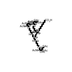 CC(=O)NC1C(OCCCCC(=O)NCCN(CCNC(=O)CCCCOC2OC(OC(C)=O)C(OC(C)=O)C(OC(C)=O)C2NC(C)=O)C(=O)CC[C@H](NC(=O)CCCCOC2OC(COC(C)=O)C(OC(C)=O)C(OC(C)=O)C2NC(C)=O)C(=O)NCCCCCCCCCCC(=O)O)OC(COC(C)=O)C(OC(C)=O)C1OC(C)=O